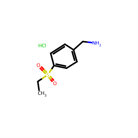 CCS(=O)(=O)c1ccc(CN)cc1.Cl